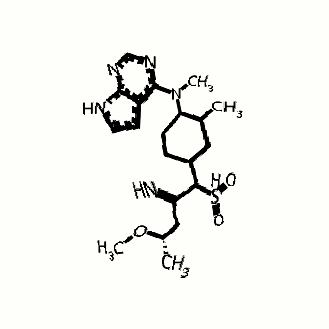 CO[C@@H](C)CC(=N)C(C1CCC(N(C)c2ncnc3[nH]ccc23)C(C)C1)[SH](=O)=O